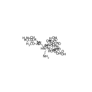 CCC(C)(COC(C)(C)CN)OCCn1cc(CCC(=O)N[C@@H](CCCCN)C(=O)N2CCC[C@H]2C(=O)N[C@@H](CO)C(=O)N[C@H](CO)C(=O)N2CCC[C@H]2C(=O)N2CCC[C@H]2C(=O)N[C@@H](CCC(=O)O)C(=O)N[C@@H](CCC(=O)O)C(=O)O)nn1